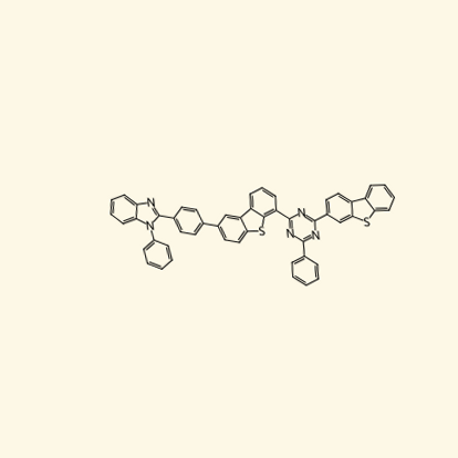 c1ccc(-c2nc(-c3ccc4c(c3)sc3ccccc34)nc(-c3cccc4c3sc3ccc(-c5ccc(-c6nc7ccccc7n6-c6ccccc6)cc5)cc34)n2)cc1